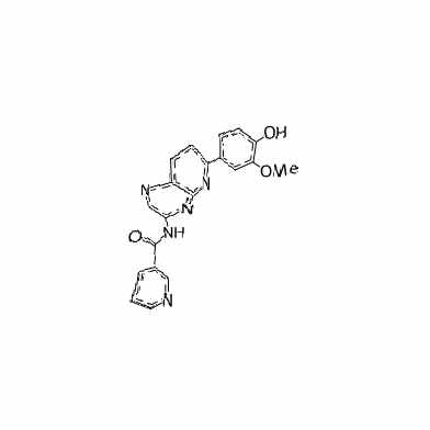 COc1cc(-c2ccc3ncc(NC(=O)c4cccnc4)nc3n2)ccc1O